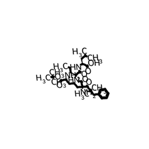 CCC[C@H](NC(=O)[C@@](N)(CCCC(N)C(=O)OC(C)(C)C)C(=O)C(C)(C)Cc1ccccc1)C(=O)N[C@@H](CC(C)C)C(=O)O